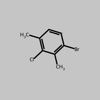 Cc1c[c]c(Br)c(C)c1Cl